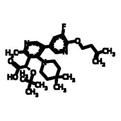 C=C(C)CCOc1ncc(-c2cnc(C)c([C@H](OC(C)(C)C)C(=O)O)c2N2CCC(C)(C)CC2)cc1F